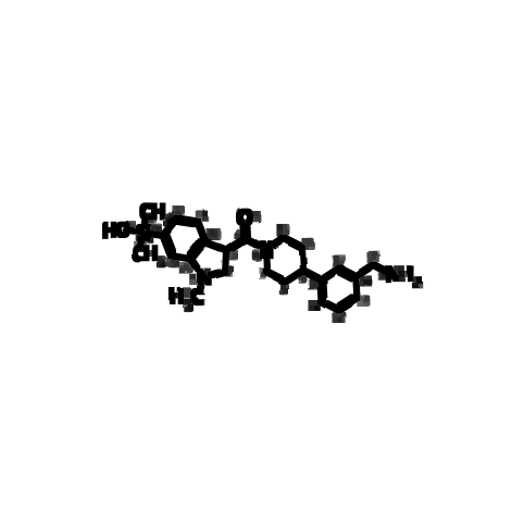 CN1CC(C(=O)N2CCC(c3cccc(CN)c3)CC2)c2ccc([Si](C)(C)O)cc21